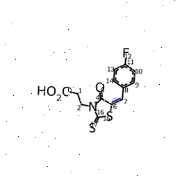 O=C(O)CCN1C(=O)/C(=C\c2ccc(F)cc2)SC1=S